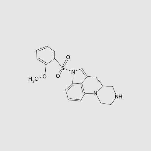 COc1ccccc1S(=O)(=O)n1cc2c3c(cccc31)N1CCNCC1C2